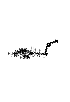 CC1(CCCCc2ccc(CCCCCC3(C(=O)CCNC(=O)CCNC(=O)C(O)C(C)(C)COP(=O)(O)OP(=O)(O)OCC4OC(n5cnc6c(N)ncnc65)C(O)C4OP(=O)(O)O)CC3)cc2)CC1